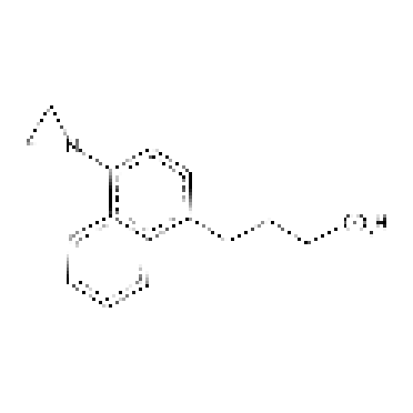 O=C(O)CCCc1ccc(N2CC2)c2ccccc12